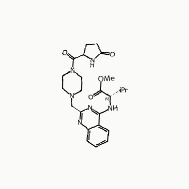 COC(=O)[C@@H](Nc1nc(CN2CCN(C(=O)C3CCC(=O)N3)CC2)nc2ccccc12)C(C)C